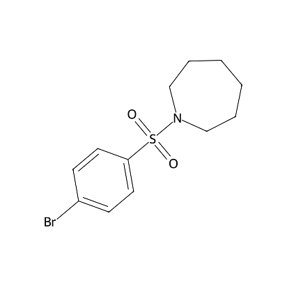 O=S(=O)(c1ccc(Br)cc1)N1CCCCCC1